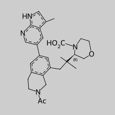 CC(=O)N1CCc2cc(-c3cnc4[nH]cc(C)c4c3)cc(CC(C)(C)[C@@H]3COCCN3C(=O)O)c2C1